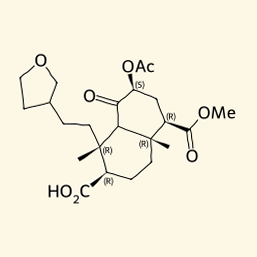 COC(=O)[C@@H]1C[C@H](OC(C)=O)C(=O)C2[C@@](C)(CCC3CCOC3)[C@H](C(=O)O)CC[C@]21C